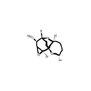 CCC[C@H]1CC[C@@H]2O[C@@H]3C[C@@]2(O1)[C@H]1OC1[C@H]3O